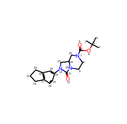 CC(C)(C)OC(=O)N1CCN2C(=O)N(c3ccc4c(c3)CCC4)CC2C1